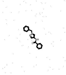 O=C(Nc1cnn(Cc2ccccc2)c1)c1ccccc1